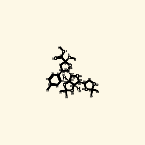 COC(=O)[C@@]1(OC)C[C@H](c2ccc(C)cc2)N([C@@H]2O[C@@H](C3COC(C)(C)O3)[C@H]3OC(C)(C)O[C@H]32)O1